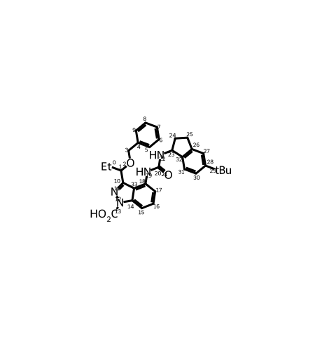 CCC(OCc1ccccc1)c1nn(C(=O)O)c2cccc(NC(=O)NC3CCc4cc(C(C)(C)C)ccc43)c12